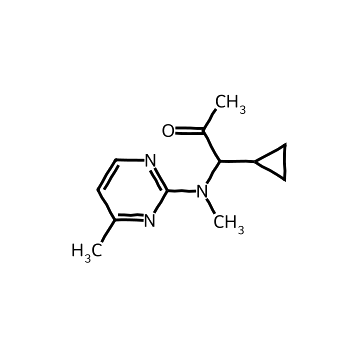 CC(=O)C(C1CC1)N(C)c1nccc(C)n1